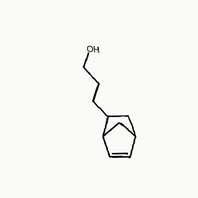 OCCCC1CC2C=CC1C2